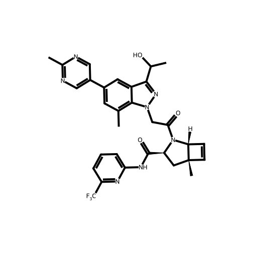 Cc1ncc(-c2cc(C)c3c(c2)c(C(C)O)nn3CC(=O)N2[C@H](C(=O)Nc3cccc(C(F)(F)F)n3)C[C@@]3(C)C=C[C@@H]23)cn1